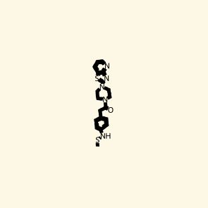 CSNc1ccc(CC(=O)N2CCN(c3nc4ncccc4s3)CC2)cc1